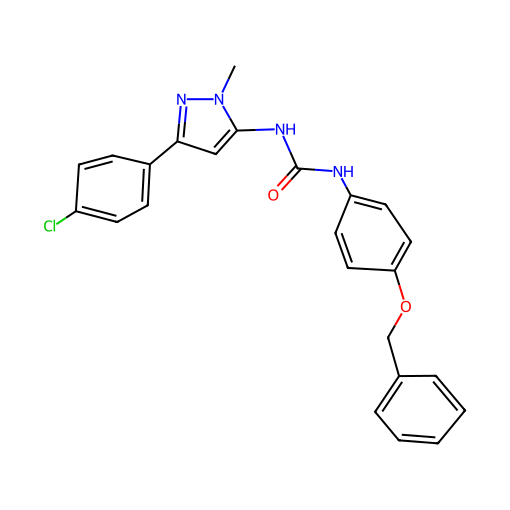 Cn1nc(-c2ccc(Cl)cc2)cc1NC(=O)Nc1ccc(OCc2ccccc2)cc1